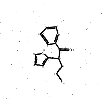 O=C(c1ccccc1)C(CCF)c1cccs1